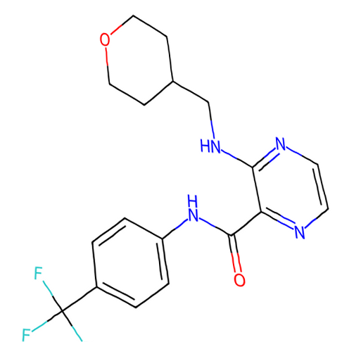 O=C(Nc1ccc(C(F)(F)F)cc1)c1nccnc1NCC1CCOCC1